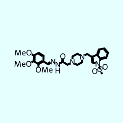 COc1ccc(C=NNC(=O)CN2CCN(Cc3cn(S(C)(=O)=O)c4ccccc34)CC2)c(OC)c1OC